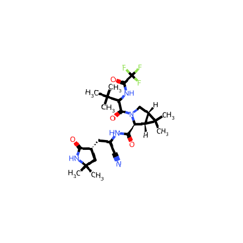 CC1(C)C[C@@H](CC(C#N)NC(=O)[C@@H]2[C@@H]3[C@H](CN2C(=O)C(NC(=O)C(F)(F)F)C(C)(C)C)C3(C)C)C(=O)N1